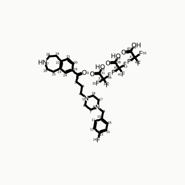 O=C(CCCN1CCN(Cc2ccc(F)cc2)CC1)c1ccc2c(c1)CCNCC2.O=C(O)C(F)(F)F.O=C(O)C(F)(F)F.O=C(O)C(F)(F)F